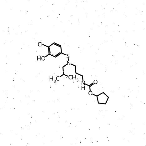 CC(C)CN(CCCNC(=O)OC1CCCC1)Sc1ccc(Cl)c(O)c1